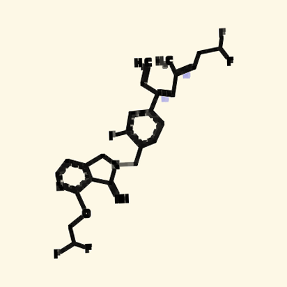 C=C/C(=C\C(C)=C\CC(F)F)c1ccc(CN2Cc3ccnc(OCC(F)F)c3C2=N)c(F)c1